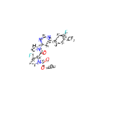 CN(C(=O)[C@@H]1[C@@H](F)CCN1C(=O)OC(C)(C)C)c1cc(-c2ccc(C(F)(F)F)c(F)c2)ncn1